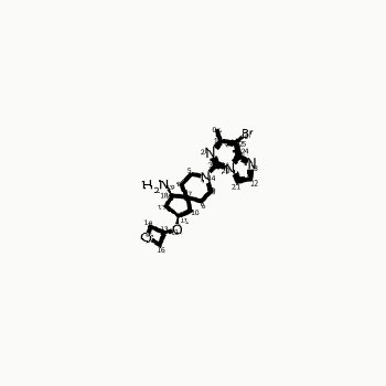 Cc1nc(N2CCC3(CC2)C[C@@H](OC2COC2)C[C@H]3N)n2ccnc2c1Br